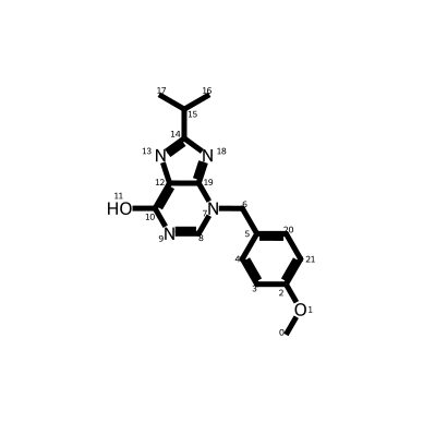 COc1ccc(Cn2cnc(O)c3nc(C(C)C)nc2-3)cc1